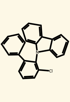 Clc1cccc(-c2ccccc2)c1-n1c2ccccc2c2ccccc21